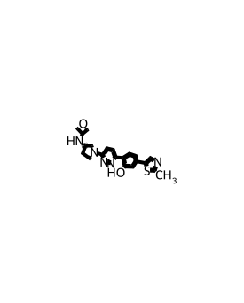 Cc1ncc(-c2ccc(-c3ccc(N4CC[C@H](NC5COC5)C4)nn3)c(O)c2)s1